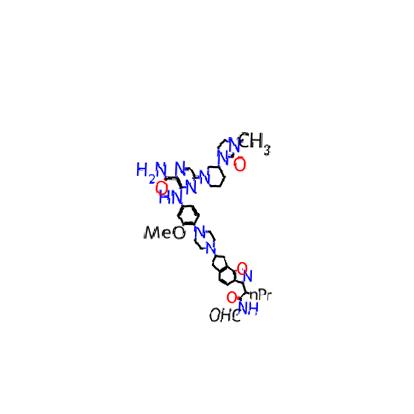 CCCC(C(=O)NC=O)c1noc2c3c(ccc12)CC(N1CCN(c2ccc(Nc4nc(N5CCCC(N6CCN(C)C6=O)C5)cnc4C(N)=O)cc2OC)CC1)C3